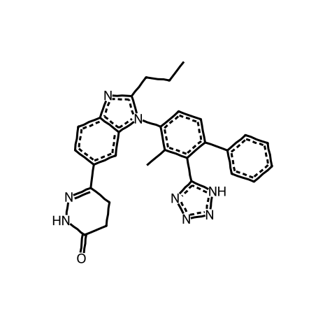 CCCc1nc2ccc(C3=NNC(=O)CC3)cc2n1-c1ccc(-c2ccccc2)c(-c2nnn[nH]2)c1C